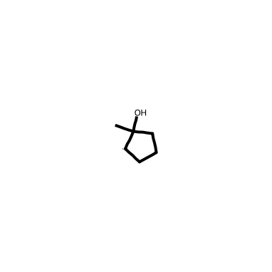 CC1(O)[CH]CCC1